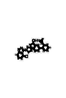 OC1CC2(CCN(c3nnc4cccc(Cl)n34)C2)c2ccc(-c3ccccc3C3CC3)cc21